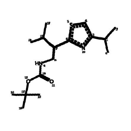 CC(C)c1csc(C(CNC(=O)OC(C)(C)C)C(C)C)n1